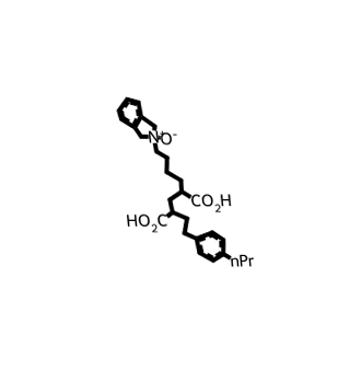 CCCc1ccc(CCC(CC(CCCC[N+]2([O-])Cc3ccccc3C2)C(=O)O)C(=O)O)cc1